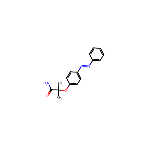 CC(C)(Oc1ccc(/N=N/c2ccccc2)cc1)C(N)=O